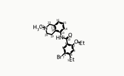 CCOc1cc(CC)c(Br)cc1C(=O)Nc1cccc2c1CCN(C)C2